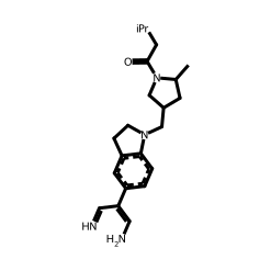 CC(C)CC(=O)N1CC(CN2CCc3cc(/C(C=N)=C/N)ccc32)CC1C